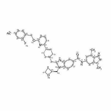 Cc1n[nH]c2c(C)cc(NC(=O)c3ccc4c(c3)nc(CN3CC=C(c5cccc(OCc6ccc(C#N)cc6F)n5)CC3)n4C[C@@H]3CCO3)cc12